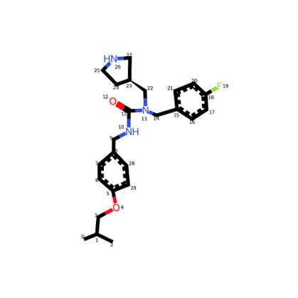 CC(C)COc1ccc(CNC(=O)N(Cc2ccc(F)cc2)C[C@H]2CCNC2)cc1